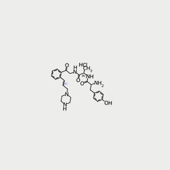 C[C@@H](NC(=O)C(N)Cc1ccc(O)cc1)C(=O)NCC(=O)c1ccccc1/C=C/CN1CCNCC1.Cl